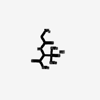 COC(=O)C(NC(=O)CN)P(=O)(OC)OC.Cl